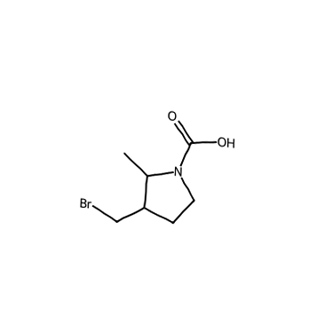 CC1C(CBr)CCN1C(=O)O